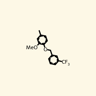 COc1cc(C)ccc1OCc1cccc(C(F)(F)F)c1